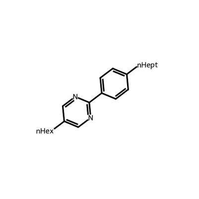 CCCCCCCc1ccc(-c2ncc(CCCCCC)cn2)cc1